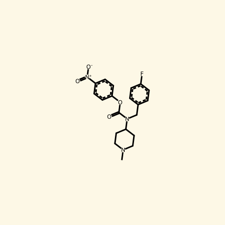 CN1CCC(N(Cc2ccc(F)cc2)C(=O)Oc2ccc([N+](=O)[O-])cc2)CC1